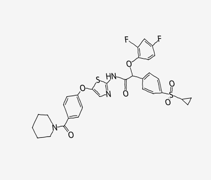 O=C(Nc1ncc(Oc2ccc(C(=O)N3CCCCC3)cc2)s1)C(Oc1ccc(F)cc1F)c1ccc(S(=O)(=O)C2CC2)cc1